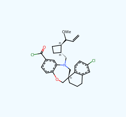 C=CC(OC)[C@@H]1CC[C@H]1CN1C[C@@]2(CCCc3cc(Cl)ccc32)COc2ccc(C(=O)Cl)cc21